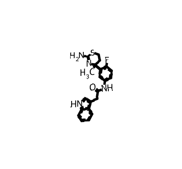 CC1(c2cc(NC(=O)Cc3c[nH]c4ccccc34)ccc2F)CCSC(N)=N1